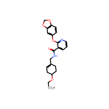 O=C(O)COC1CC=C(CNC(=O)c2cccnc2Oc2ccc3c(c2)OCO3)CC1